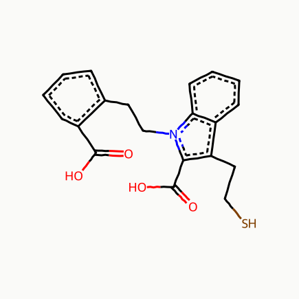 O=C(O)c1ccccc1CCn1c(C(=O)O)c(CCS)c2ccccc21